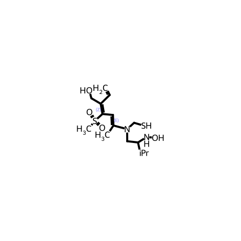 C=C/C(CO)=C(\C=C(/C)N(CS)CC(NO)C(C)C)S(C)(=O)=O